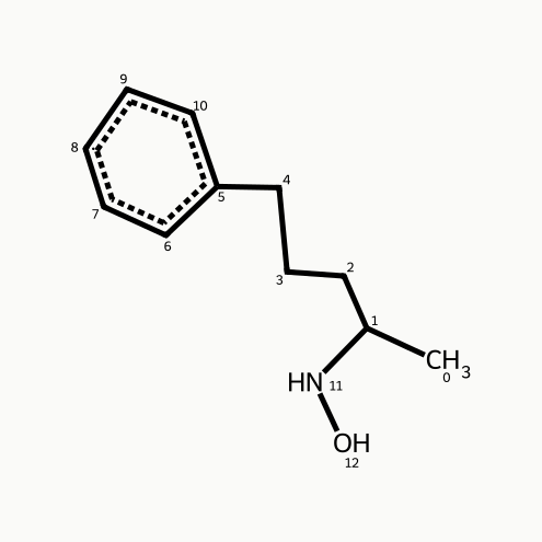 CC(CCCc1cc[c]cc1)NO